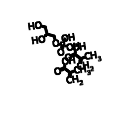 C=C(C)C(=O)O.C=C(C)C(=O)O.O=P(O)(O)OCC(O)CO